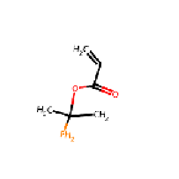 C=CC(=O)OC(C)(C)P